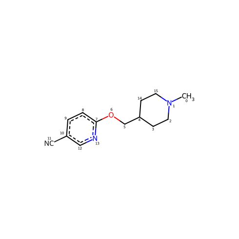 CN1CCC(COc2ccc(C#N)cn2)CC1